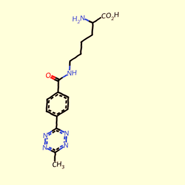 Cc1nnc(-c2ccc(C(=O)NCCCCC(N)C(=O)O)cc2)nn1